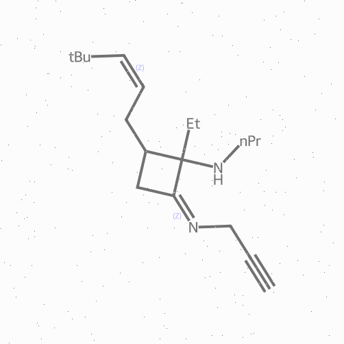 C#CC/N=C1/CC(C/C=C\C(C)(C)C)C1(CC)NCCC